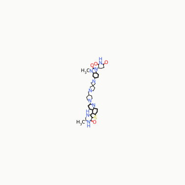 C[C@@H]1CNc2c(sc3ccc4nc(N5CCC(CN6CCC7(C6)CN(c6ccc8c(c6)n(C)c(=O)n8C6CCC(=O)NC6=O)C7)CC5)ccc4c23)C(=O)N1